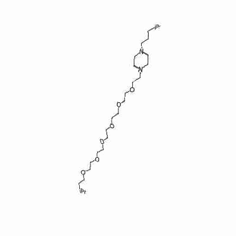 CC(C)CCCN1CCN(CCOCCOCCOCCOCCOCCOCCC(C)C)CC1